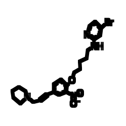 O=[N+]([O-])c1cc(C#CCN2CCCCC2)ccc1OCCCCCNc1cc(Br)ccn1